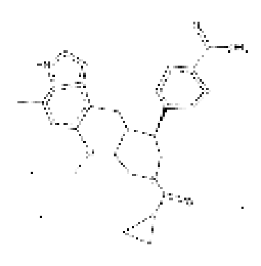 COc1cc(C)c2[nH]ccc2c1CN1CCN(C(=O)C2CC2)C[C@@H]1c1ccc(C(=O)O)cc1